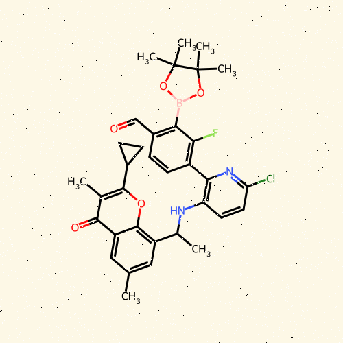 Cc1cc(C(C)Nc2ccc(Cl)nc2-c2ccc(C=O)c(B3OC(C)(C)C(C)(C)O3)c2F)c2oc(C3CC3)c(C)c(=O)c2c1